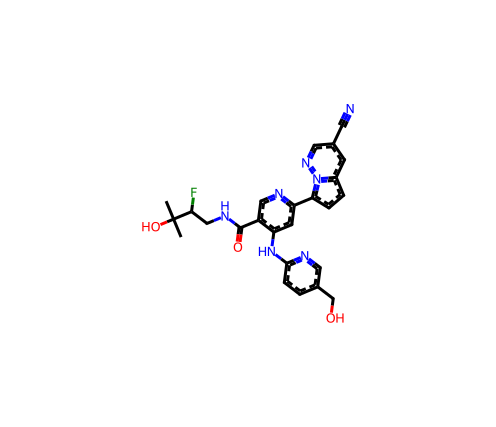 CC(C)(O)C(F)CNC(=O)c1cnc(-c2ccc3cc(C#N)cnn23)cc1Nc1ccc(CO)cn1